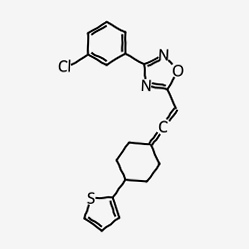 Clc1cccc(-c2noc(C=C=C3CCC(c4cccs4)CC3)n2)c1